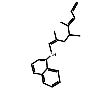 C=C/C=C(\C)C(C)C/C(C)=C\Nc1cccc2ccccc12